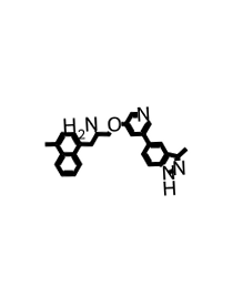 Cc1n[nH]c2ccc(-c3cncc(OC[C@@H](N)Cc4ccc(C)c5ccccc45)c3)cc12